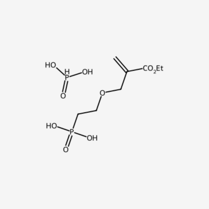 C=C(COCCP(=O)(O)O)C(=O)OCC.O=[PH](O)O